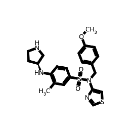 COc1ccc(CN(c2cscn2)S(=O)(=O)c2ccc(N[C@H]3CCNC3)c(C)c2)cc1